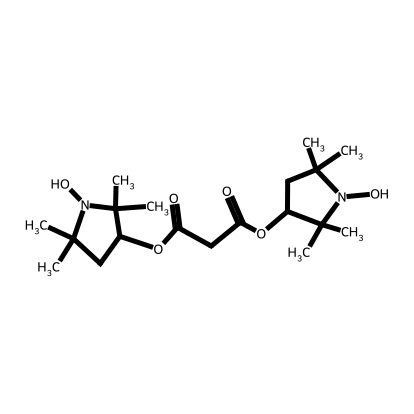 CC1(C)CC(OC(=O)CC(=O)OC2CC(C)(C)N(O)C2(C)C)C(C)(C)N1O